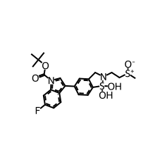 C[S+]([O-])CCN1Cc2cc(-c3cn(C(=O)OC(C)(C)C)c4cc(F)ccc34)ccc2S1(O)O